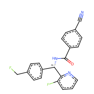 N#Cc1ccc(C(=O)N[C@@H](c2ccc(CF)cc2)c2ncccc2F)cc1